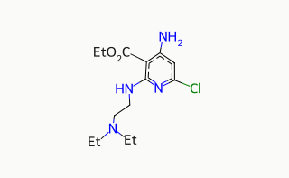 CCOC(=O)c1c(N)cc(Cl)nc1NCCN(CC)CC